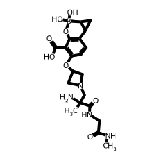 CNC(=O)CNC(=O)C(C)(N)CN1CC(Oc2ccc3c(c2C(=O)O)O[B-](O)(O)C2CC32)C1